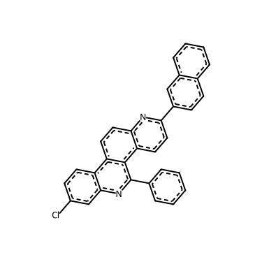 Clc1ccc2c(c1)nc(-c1ccccc1)c1c3ccc(-c4ccc5ccccc5c4)nc3ccc21